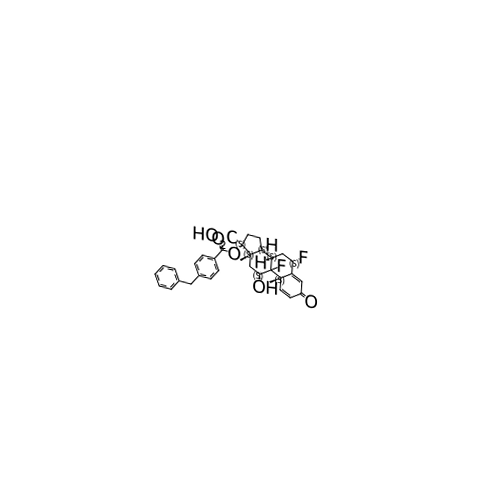 C[C@]12C=CC(=O)C=C1[C@@H](F)C[C@H]1[C@@H]3CC[C@@](OC(=O)c4ccc(Cc5ccccc5)cc4)(C(=O)O)[C@@]3(C)C[C@H](O)C12F